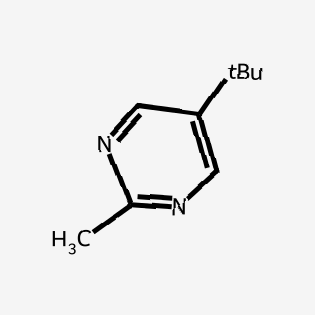 Cc1ncc(C(C)(C)C)cn1